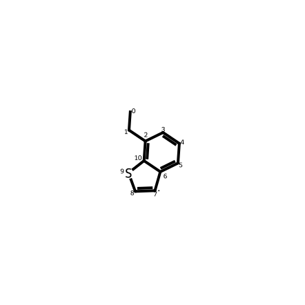 CCc1cccc2[c]csc12